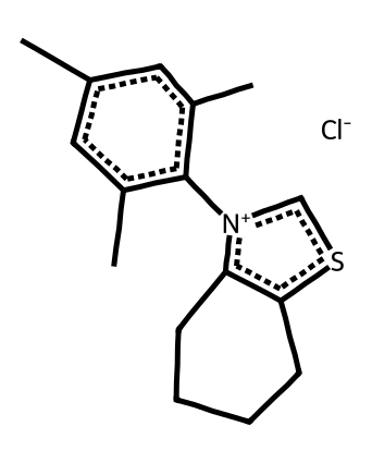 Cc1cc(C)c(-[n+]2csc3c2CCCC3)c(C)c1.[Cl-]